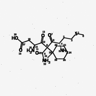 CSCC[C@H](N)C(=O)C(C(N)=O)(C(=O)[C@@H](N)CC(=O)O)C1(C)CCCCC1